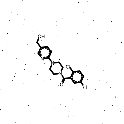 O=C(c1cc(Cl)ccc1Cl)N1CCN(c2ccc(CO)cn2)CC1